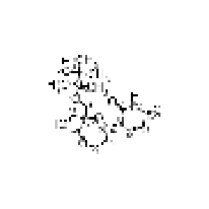 CC(C)(C)[Si](C)(C)OC[C@]1(CO)COCC[C@H](n2ccc(=O)[nH]c2=O)O1